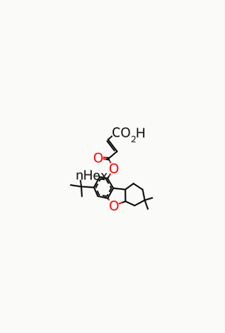 CCCCCCC(C)(C)c1cc(OC(=O)C=CC(=O)O)c2c(c1)OC1CC(C)(C)CCC21